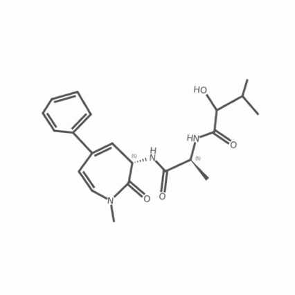 CC(C)C(O)C(=O)N[C@@H](C)C(=O)N[C@H]1C=C(c2ccccc2)C=CN(C)C1=O